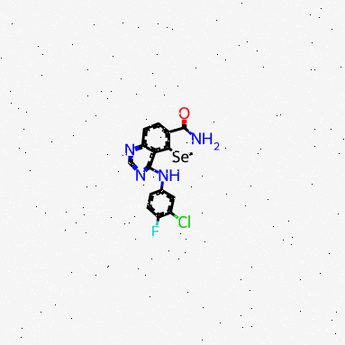 C[Se]c1c(C(N)=O)ccc2ncnc(Nc3ccc(F)c(Cl)c3)c12